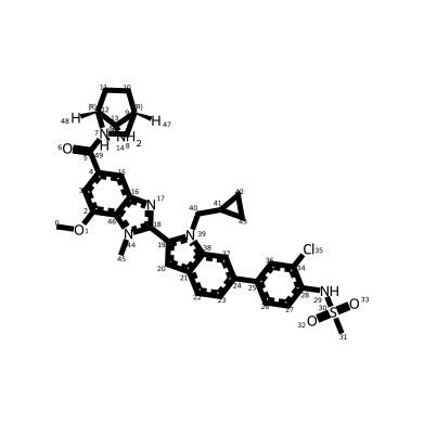 COc1cc(C(=O)N2C[C@H]3CC[C@@H]2[C@@H]3N)cc2nc(-c3cc4ccc(-c5ccc(NS(C)(=O)=O)c(Cl)c5)cc4n3CC3CC3)n(C)c12